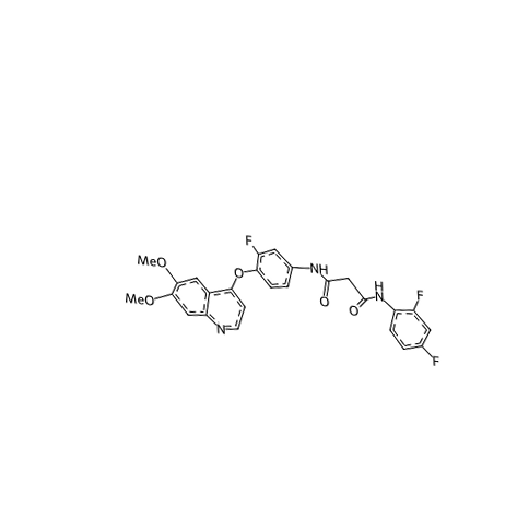 COc1cc2nccc(Oc3ccc(NC(=O)CC(=O)Nc4ccc(F)cc4F)cc3F)c2cc1OC